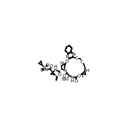 C=C[C@@H]1CC1(NC(=O)[C@@H]1C[C@@H]2CN1C(=O)[C@H](C(C)(C)C)NC(=O)O[C@@]1(C)C[C@@H]1CCCCCc1nc3ccccc3nc1O2)C(=O)NS(=O)(=O)C1CC1